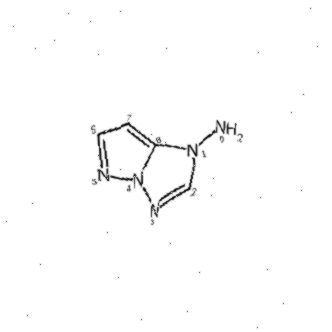 Nn1cnn2nccc12